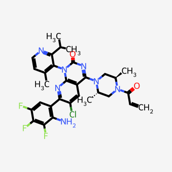 C=CC(=O)N1C[C@H](C)N(c2nc(=O)n(-c3c(C)ccnc3C(C)C)c3nc(-c4cc(F)c(F)c(F)c4N)c(Cl)cc23)C[C@H]1C